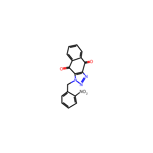 O=C1c2ccccc2C(=O)c2c1nnn2Cc1ccccc1[N+](=O)[O-]